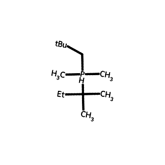 CCC(C)(C)[PH](C)(C)CC(C)(C)C